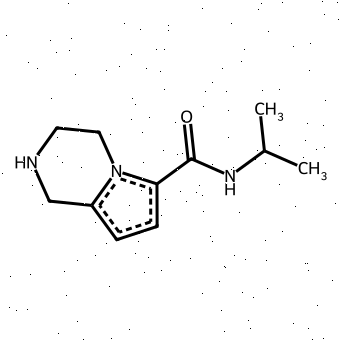 CC(C)NC(=O)c1ccc2n1CCNC2